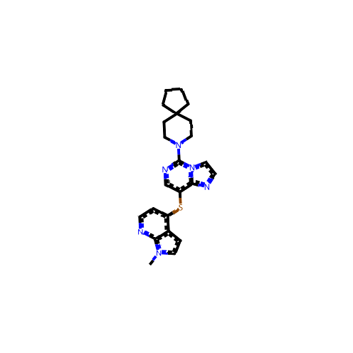 Cn1ccc2c(Sc3cnc(N4CCC5(CCCC5)CC4)n4ccnc34)ccnc21